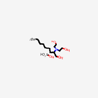 CCCCCCCCCCCCCCCCC(CO)N(CCO)CCO.O=S(=O)(O)O